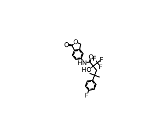 CC(C)(CC(O)(C(=O)Nc1ccc2c(c1)COC2=O)C(F)(F)F)c1ccc(F)cc1